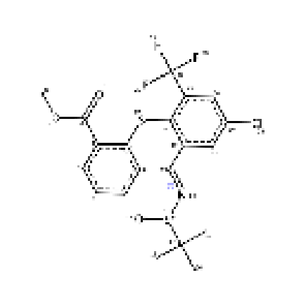 COC(=O)c1ccccc1Sc1c(/C=N/[S+]([O-])C(C)(C)C)cc(Cl)cc1C(F)(F)F